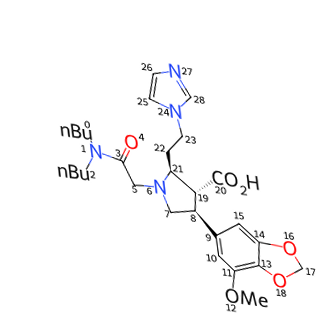 CCCCN(CCCC)C(=O)CN1C[C@H](c2cc(OC)c3c(c2)OCO3)[C@@H](C(=O)O)[C@@H]1CCn1ccnc1